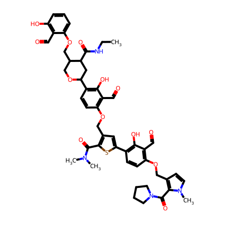 CCNC(=O)C1CC(c2ccc(OCc3cc(-c4ccc(OCc5ccn(C)c5C(=O)N5CCCC5)c(C=O)c4O)sc3C(=O)N(C)C)c(C=O)c2O)OCC1COc1cccc(O)c1C=O